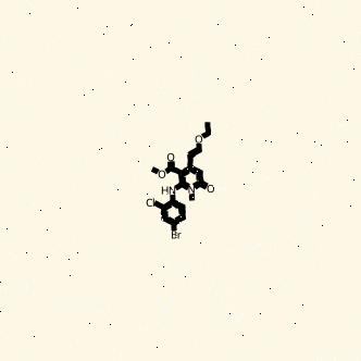 CCO/C=C/c1cc(=O)n(C)c(Nc2ccc(Br)cc2Cl)c1C(=O)OC